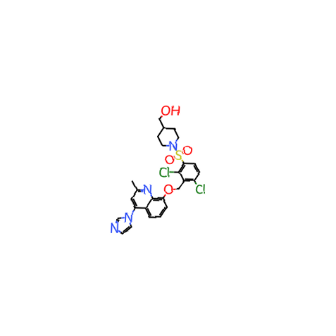 Cc1cc(-n2ccnc2)c2cccc(OCc3c(Cl)ccc(S(=O)(=O)N4CCC(CO)CC4)c3Cl)c2n1